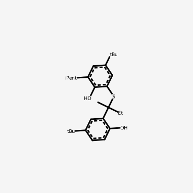 CCCC(C)c1cc(C(C)(C)C)cc(SC(C)(CC)c2cc(C(C)(C)C)ccc2O)c1O